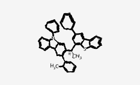 Cc1ccccc1C1=C([C@@H](C)c2cc(C3C=CC=CC3)cc3c2sc2ccccc23)C=C2C(C1)c1ccccc1N2c1ccccc1